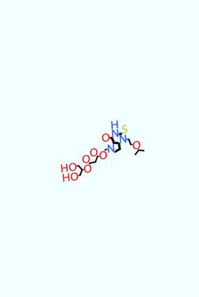 CC(C)OCCn1c(=S)[nH]c(=O)c2c1ccn2COC(=O)CC(=O)OC(CO)CO